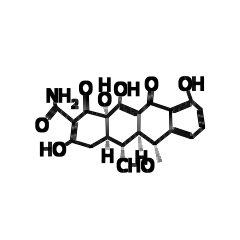 C[C@H]1c2cccc(O)c2C(=O)C2=C(O)[C@]3(O)C(=O)C(C(N)=O)=C(O)C[C@@H]3[C@@H](C=O)[C@@H]21